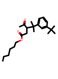 CCCCCCOC(=O)CC(C(C)=O)C(C)(C)c1cccc(C(C)(C)C)c1